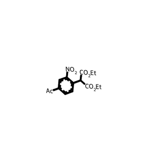 CCOC(=O)C(C(=O)OCC)c1ccc(C(C)=O)cc1[N+](=O)[O-]